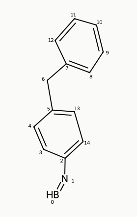 B=Nc1ccc(Cc2ccccc2)cc1